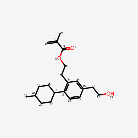 C=C(C)C(=O)OCCc1cc(CCO)ccc1C1CCC(C)CC1